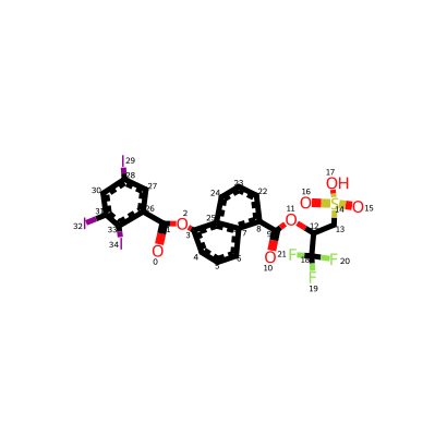 O=C(Oc1cccc2c(C(=O)OC(CS(=O)(=O)O)C(F)(F)F)cccc12)c1cc(I)cc(I)c1I